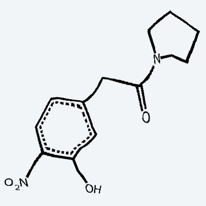 O=C(Cc1ccc([N+](=O)[O-])c(O)c1)N1CCCC1